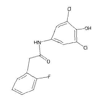 O=C(Cc1ccccc1F)Nc1cc(Cl)c(O)c(Cl)c1